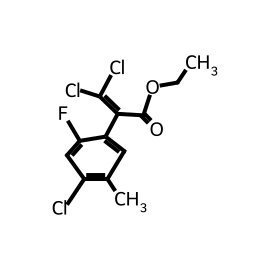 CCOC(=O)C(=C(Cl)Cl)c1cc(C)c(Cl)cc1F